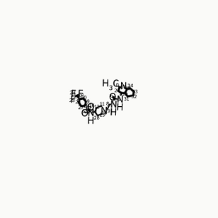 Cc1cc(NC(=O)NCCN2CCC(NS(=O)(=O)c3ccc(C(F)(F)F)cc3)CC2)c2ccccc2n1